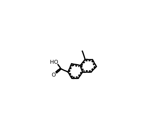 Cc1cccc2ccc(C(=O)O)cc12